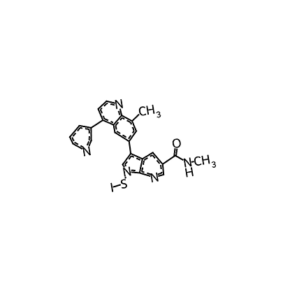 CNC(=O)c1cnc2c(c1)c(-c1cc(C)c3nccc(-c4cccnc4)c3c1)cn2SI